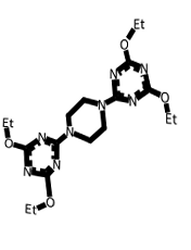 CCOc1nc(OCC)nc(N2CCN(c3nc(OCC)nc(OCC)n3)CC2)n1